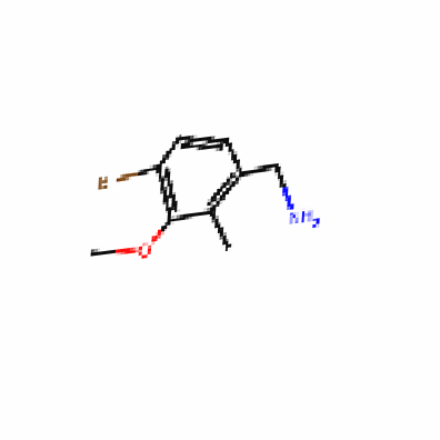 COc1c(Br)ccc(CN)c1C